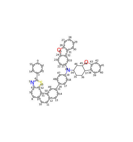 c1ccc(-c2nc3ccc4ccc5ccc(-c6ccc(N(c7ccc8oc9ccccc9c8c7)C7CCC8c9ccccc9OC8C7)cc6)cc5c4c3s2)cc1